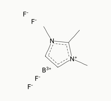 Cc1n(C)cc[n+]1C.[B+3].[F-].[F-].[F-].[F-]